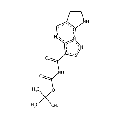 CC(C)(C)OC(=O)NC(=O)c1cnn2c3c(cnc12)CCN3